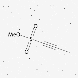 CC#CS(=O)(=O)OC